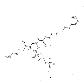 CCCCCC/C=C\CCCCCCCCCC(=O)O[C@H](COC(=O)CCCCCCCCCCCCCC)COP(=O)([O-])OCC[N+](C)(C)C